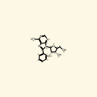 Nc1ncnc2c1nc(-c1ccccc1)n2C1OC(CO)[C@H](O)[C@@H]1O